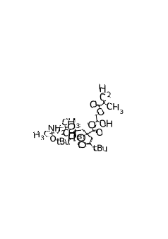 C=C(C)C(=O)OCC(O)OC(=O)C(O)(CC(=O)OC(C)(C)CCC(C)(N)OC(C)(C)C)CC(=O)C(C)(C)C